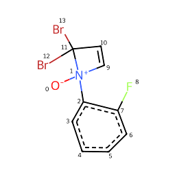 [O-][N+]1(c2ccccc2F)C=CC1(Br)Br